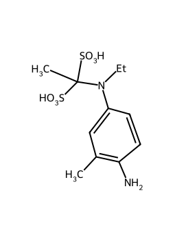 CCN(c1ccc(N)c(C)c1)C(C)(S(=O)(=O)O)S(=O)(=O)O